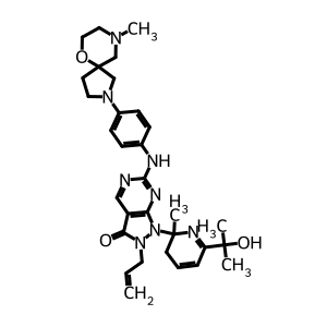 C=CCn1c(=O)c2cnc(Nc3ccc(N4CCC5(CN(C)CCO5)C4)cc3)nc2n1C1(C)CC=CC(C(C)(C)O)=N1